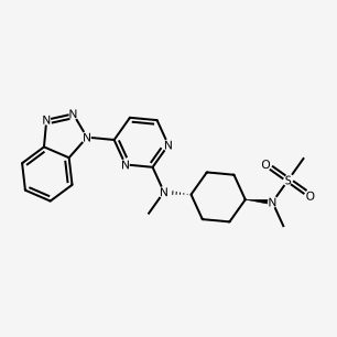 CN(c1nccc(-n2nnc3ccccc32)n1)[C@H]1CC[C@H](N(C)S(C)(=O)=O)CC1